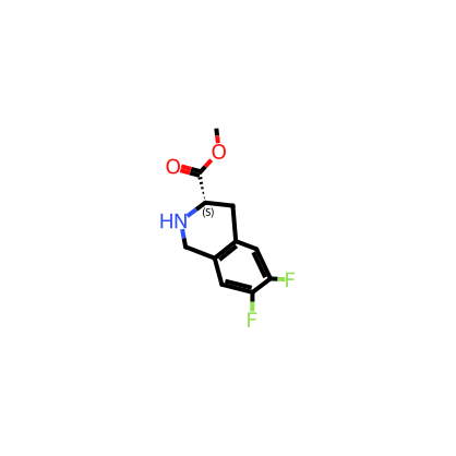 COC(=O)[C@@H]1Cc2cc(F)c(F)cc2CN1